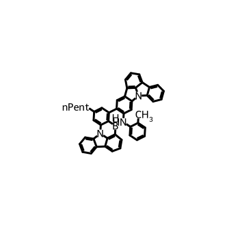 CCCCCc1cc(-c2cc3c4cccc5c6ccccc6n(c3cc2Nc2ccccc2C)c54)c2c(c1)-n1c3ccccc3c3cccc(c31)B2